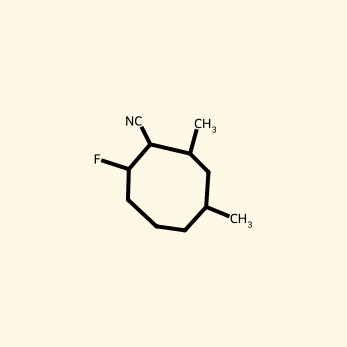 CC1CCCC(F)C(C#N)C(C)C1